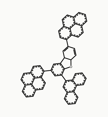 C1=CC2Oc3c(-c4cc5ccccc5c5ccccc45)cc(-c4ccc5ccc6cccc7ccc4c5c67)cc3C2C=C1c1ccc2ccc3cccc4ccc1c2c34